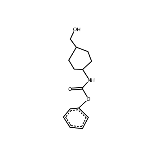 O=C(NC1CCC(CO)CC1)Oc1ccccc1